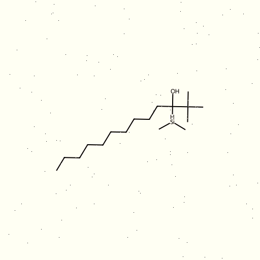 CCCCCCCCCCC(O)([SiH](C)C)C(C)(C)C